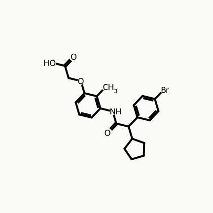 Cc1c(NC(=O)C(c2ccc(Br)cc2)C2CCCC2)cccc1OCC(=O)O